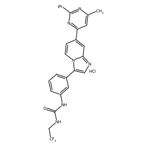 Cc1cc(-c2ccn3c(-c4cccc(NC(=O)NCC(F)(F)F)c4)cnc3c2)nc(C(C)C)n1.Cl